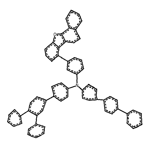 c1ccc(-c2ccc(-c3ccc(N(c4ccc(-c5ccc(-c6ccccc6)c(-c6ccccc6)c5)cc4)c4cccc(-c5cccc6oc7c8ccccc8ccc7c56)c4)cc3)cc2)cc1